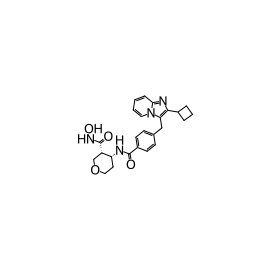 O=C(N[C@@H]1CCOC[C@@H]1C(=O)NO)c1ccc(Cc2c(C3CCC3)nc3ccccn23)cc1